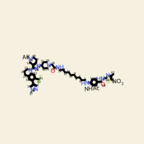 CC(=O)Nc1cc(NCCCCCCCCCCNC(=O)CN2CCC(n3nc(N4CCCc5cc(-c6cnn(C)c6)c(C(F)F)cc54)c4c3CCN(C(C)=O)C4)CC2)ccc1C(=O)Nc1nc(C)c([N+](=O)[O-])s1